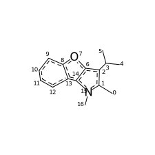 Cc1c(C(C)C)c2oc3ccccc3c2n1C